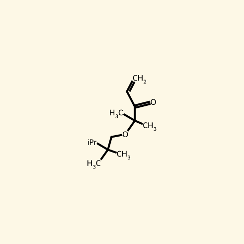 C=CC(=O)C(C)(C)OCC(C)(C)C(C)C